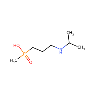 CC(C)NCCCP(C)(=O)O